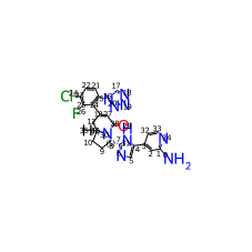 Nc1cc(-c2cnc([C@@H]3CC[C@@H]4CC(c5c(-n6cnnn6)ccc(Cl)c5F)=CC(=O)N43)[nH]2)ccn1